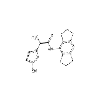 C[C](C(=O)Nc1c2c(cc3c1CCC3)CCC2)n1cc(C#N)cn1